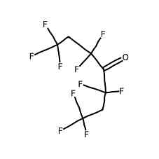 O=C(C(F)(F)CC(F)(F)F)C(F)(F)CC(F)(F)F